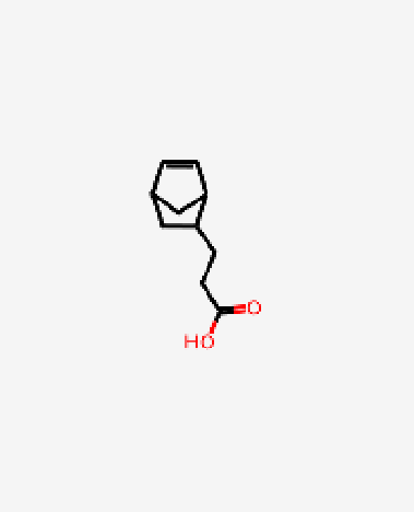 O=C(O)CCC1CC2C=CC1C2